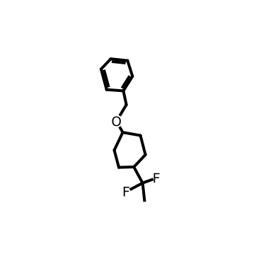 CC(F)(F)C1CCC(OCc2ccccc2)CC1